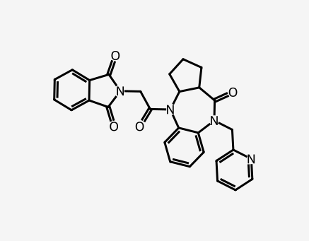 O=C1c2ccccc2C(=O)N1CC(=O)N1c2ccccc2N(Cc2ccccn2)C(=O)C2CCCC21